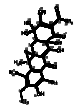 Bc1c(CC)c(O)c(O)c2c1[C@@]1(C)OC13CC1C(O)(O)C(O)=C(C(N)=O)C(=O)C1(O)C(O)=C3C2=O